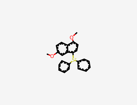 COc1ccc2c(OC)ccc([S+](c3ccccc3)c3ccccc3)c2c1